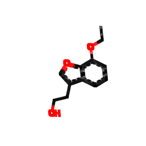 CCOc1cccc2c(CCO)coc12